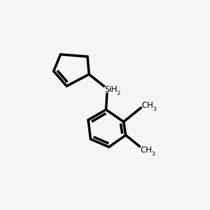 Cc1cccc([SiH2]C2C=CCC2)c1C